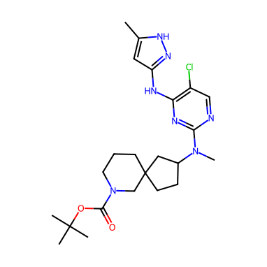 Cc1cc(Nc2nc(N(C)C3CCC4(CCCN(C(=O)OC(C)(C)C)C4)C3)ncc2Cl)n[nH]1